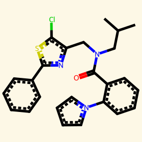 CC(C)CN(Cc1nc(-c2ccccc2)sc1Cl)C(=O)c1ccccc1-n1cccc1